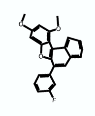 COc1cc(OC)c2c(c1)oc1c(-c3cccc(F)c3)cc3ccccc3c12